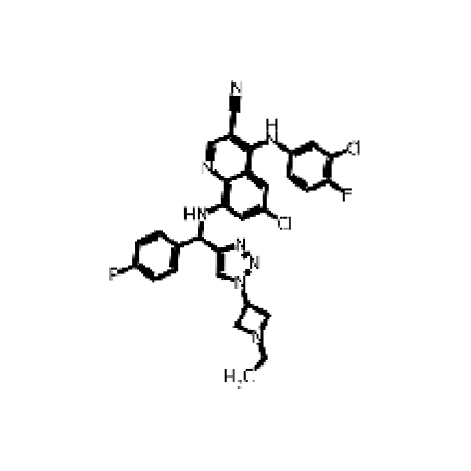 CCN1CC(n2cc(C(Nc3cc(Cl)cc4c(Nc5ccc(F)c(Cl)c5)c(C#N)cnc34)c3ccc(F)cc3)nn2)C1